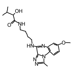 COc1ccc2c(c1)nc(NCCCCNC(=O)C(O)C(C)C)c1nnc(C)n12